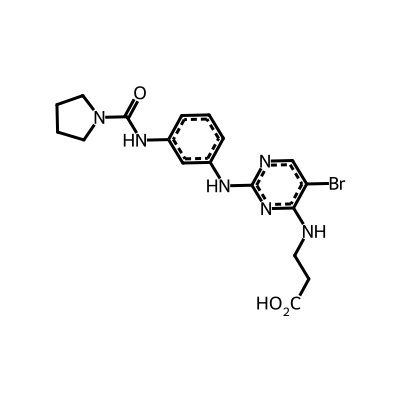 O=C(O)CCNc1nc(Nc2cccc(NC(=O)N3CCCC3)c2)ncc1Br